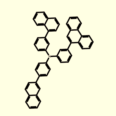 c1cc(-c2cccc3ccccc23)cc(N(c2ccc(-c3ccc4ccccc4c3)cc2)c2cccc(-c3cc4ccccc4c4ccccc34)c2)c1